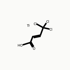 O=C(O)/C=C/C(Cl)(Cl)Cl.[Tl]